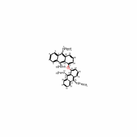 CCCCCc1c2ccccc2c(CCCCC)c2c(Oc3cccc4c(CCCCC)c5ccccc5c(CCCCC)c34)cccc12